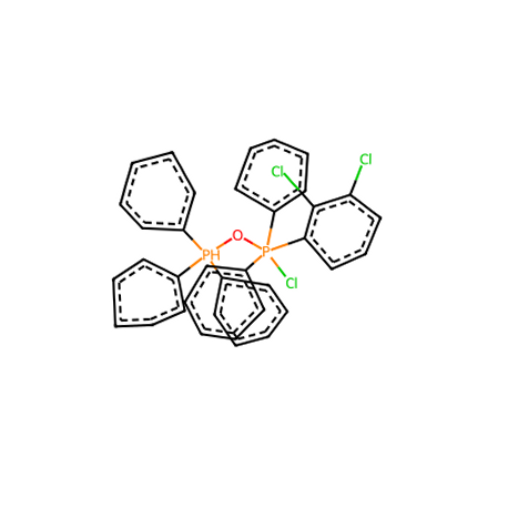 Clc1cccc(P(Cl)(O[PH](c2ccccc2)(c2ccccc2)c2ccccc2)(c2ccccc2)c2ccccc2)c1Cl